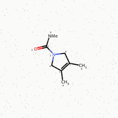 CNC(=O)N1CC(C)=C(C)C1